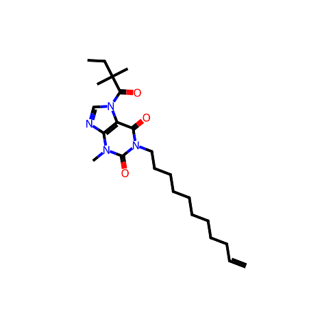 C=CCCCCCCCCCn1c(=O)c2c(ncn2C(=O)C(C)(C)CC)n(C)c1=O